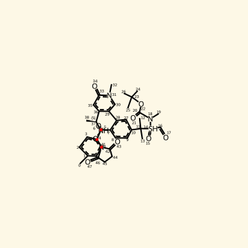 Cc1ccc(C(=O)c2ccc(C(C)(C)[SH](=O)(C=O)N(C)C(=O)OC(C)(C)C)cc2-c2cn(C)c(=O)cc2[C@H](C)NON2C(=O)CCC2=O)cc1